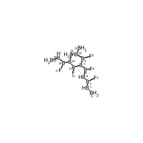 BBB(F)BB(F)B(B(F)BB)B(F)B(B)B(F)BB